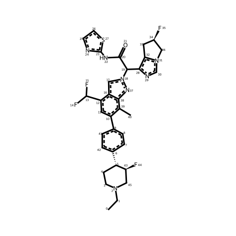 CCN1CC[C@H](c2ccc(-c3cc(C(F)F)c4cn(C(C(=O)Nc5nccs5)c5ncn6c5C[C@@H](F)C6)nc4c3C)cc2)[C@@H](F)C1